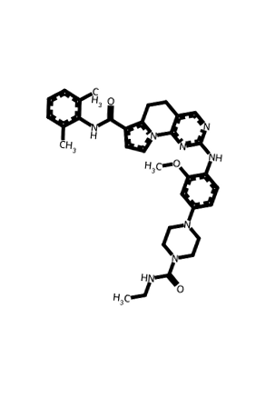 CCNC(=O)N1CCN(c2ccc(Nc3ncc4c(n3)-n3ccc(C(=O)Nc5c(C)cccc5C)c3CC4)c(OC)c2)CC1